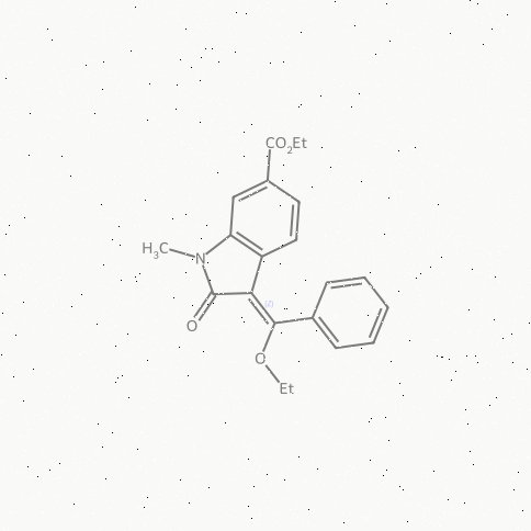 CCOC(=O)c1ccc2c(c1)N(C)C(=O)/C2=C(\OCC)c1ccccc1